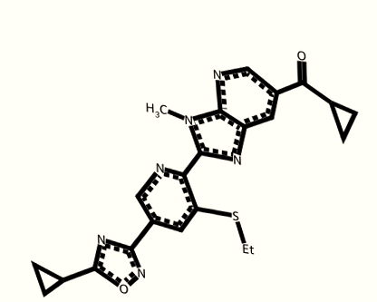 CCSc1cc(-c2noc(C3CC3)n2)cnc1-c1nc2cc(C(=O)C3CC3)cnc2n1C